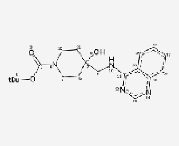 CC(C)(C)OC(=O)N1CCC(O)(CNc2ncnc3ccccc23)CC1